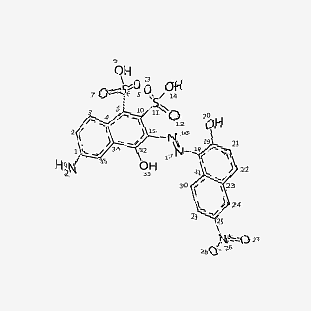 Nc1ccc2c(S(=O)(=O)O)c(S(=O)(=O)O)c(N=Nc3c(O)ccc4cc([N+](=O)[O-])ccc34)c(O)c2c1